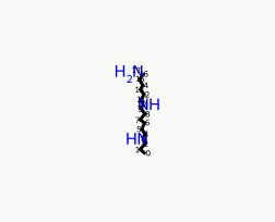 CCCNCCCCCCNCCCCCCN